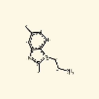 Cc1cnc2c(c1)nc(C)n2CCP